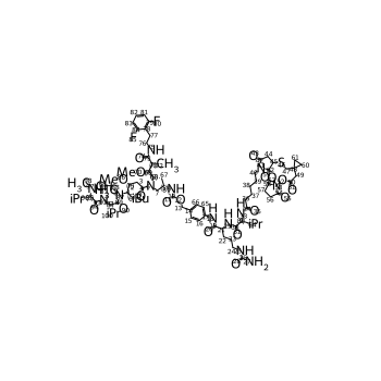 CC[C@H](C)C([C@@H](CC(=O)N1C[C@@H](NC(=O)OCc2ccc(NC(=O)C(CCCNC(N)=O)NC(=O)[C@@H](NC(=O)CCCCCN3C(=O)CC(SCC4(CC(=O)ON5C(=O)CCC5=O)CC4)C3=O)C(C)C)cc2)C[C@H]1[C@H](OC)[C@@H](C)C(=O)NCCc1c(F)cccc1F)OC)N(C)C(=O)[C@@H](NC(=O)[C@H](C(C)C)N(C)C)C(C)C